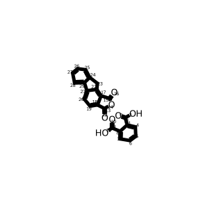 O=C(O)c1ccccc1C(=O)O.O=C1OC(=O)c2c1ccc1c2Cc2ccccc2-1